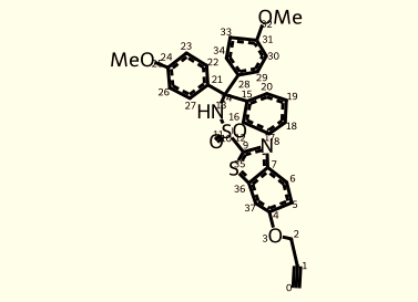 C#CCOc1ccc2nc(S(=O)(=O)NC(c3ccccc3)(c3ccc(OC)cc3)c3ccc(OC)cc3)sc2c1